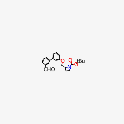 CC(C)(C)OC(=O)N1CC[C@H]1COc1cccc(-c2cccc(C=O)c2)c1